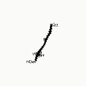 CCCCCCCCC=CCCCCCCCCCCCC(=O)CCCCCCCCCCCCCCC(=O)N[C@@H](CO)CCCCCCCCCCCCCCCC